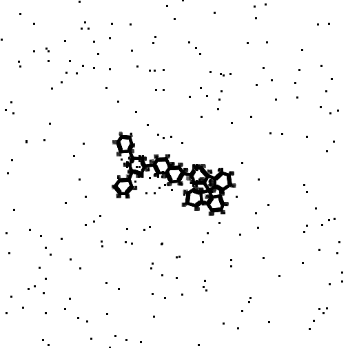 c1ccc(-c2nc(-c3ccccc3)nc(-c3ccc4cc(-c5ncc6c(n5)C(c5ccccc5)(c5ccccc5)c5ccccc5-6)ccc4c3)n2)cc1